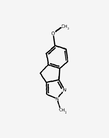 COc1ccc2c(c1)Cc1cn(C)nc1-2